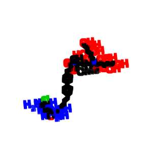 COC(=O)[C@H](CCCCN(C[C@H](O)[C@@H](O)[C@H](O)[C@H](O)CO)C[C@H](O)[C@@H](O)[C@H](O)[C@H](O)CO)N(C)C(=O)CCc1ccc(-c2ccc(CCCCNC(=N)NC(=O)c3nc(Cl)c(N)nc3N)cc2)cc1